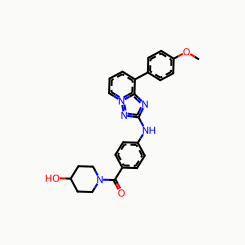 COc1ccc(-c2cccn3nc(Nc4ccc(C(=O)N5CCC(O)CC5)cc4)nc23)cc1